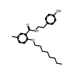 CCCCCCCCOc1ccc(C)cc1C(=O)NCCc1ccc(O)cc1